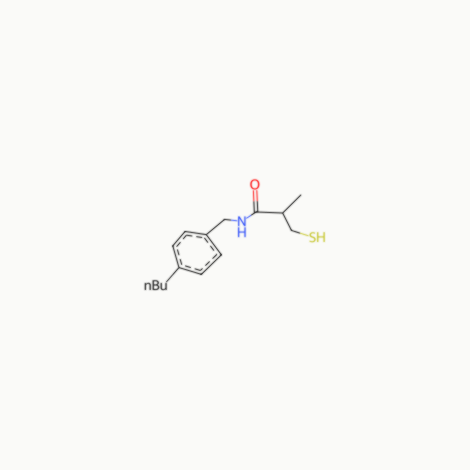 CCCCc1ccc(CNC(=O)C(C)CS)cc1